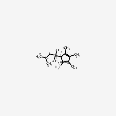 CC1=C(C)C([Si](C)(C)CP(C)C)C(C)=C1C